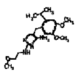 COCCNc1ncc(Cc2cc(OC)c(OC)cc2C(C)C)c(N)n1